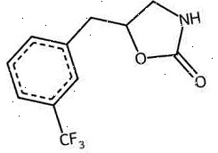 O=C1NCC(Cc2cccc(C(F)(F)F)c2)O1